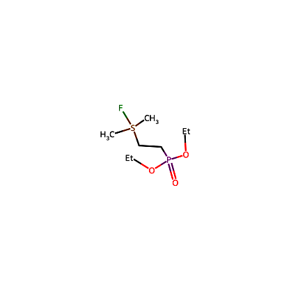 CCOP(=O)(CCS(C)(C)F)OCC